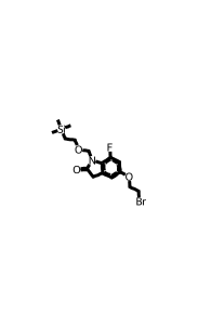 C[Si](C)(C)CCOCN1C(=O)Cc2cc(OCCBr)cc(F)c21